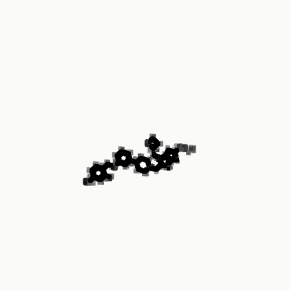 O=C(O)c1cc2c(nc(CN3CCC(c4cccc(OCc5ccc(Cl)cc5F)c4)CC3)n2C[C@@H]2CCO2)s1